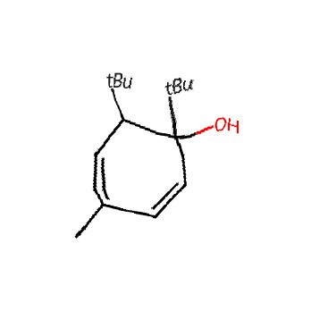 CC1=CC(C(C)(C)C)C(O)(C(C)(C)C)C=C1